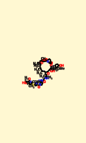 CO[C@@H]1C[C@H](/C=C(\C)[C@H]2OC(=O)[C@@H]3CCCCN3C(=O)C(=O)[C@]3(O)O[C@H]([C@@H](C)C[C@@H](C)C/C(C)=C/[C@@H](CCC(C)(C)NCC(=O)N[C@H]4CCN(C(=O)[C@@H]5C[C@H](SC6=C(C(=O)O)N7C(=O)[C@H]([C@@H](C)O)[C@H]7[C@H]6C)CN5C)C4)C(=O)C[C@H](O)[C@H]2C)[C@@H](C)C[C@H]3C)CC[C@H]1O